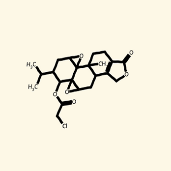 CC(C)C1CC2OC23C2(C)CCC4=C(COC4=O)C2CC2OC23C1OC(=O)CCl